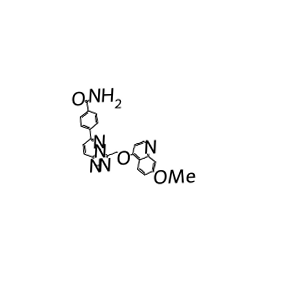 COc1ccc2c(OCc3nnc4ccc(-c5ccc(C(N)=O)cc5)nn34)ccnc2c1